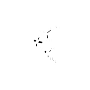 O=S(=O)([O-])[O-].O=[Si](O)O.O=[Si](O)O.[Na+].[Na+]